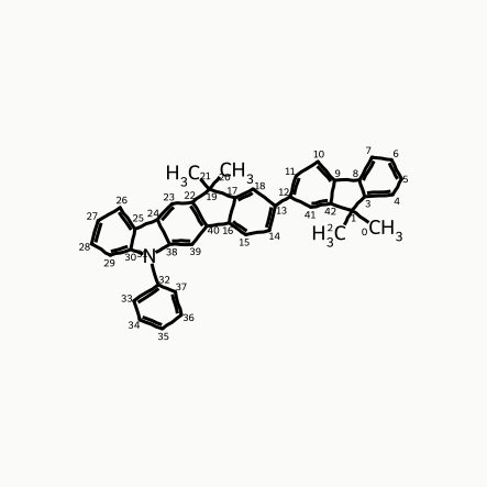 CC1(C)c2ccccc2-c2ccc(-c3ccc4c(c3)C(C)(C)c3cc5c6ccccc6n(-c6ccccc6)c5cc3-4)cc21